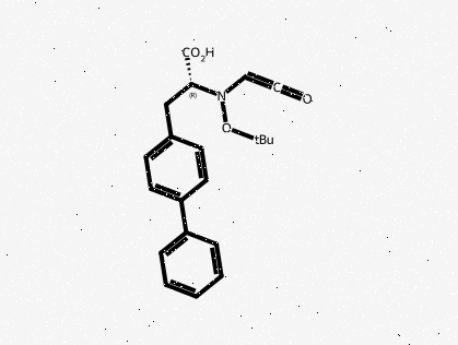 CC(C)(C)ON(C=C=O)[C@H](Cc1ccc(-c2ccccc2)cc1)C(=O)O